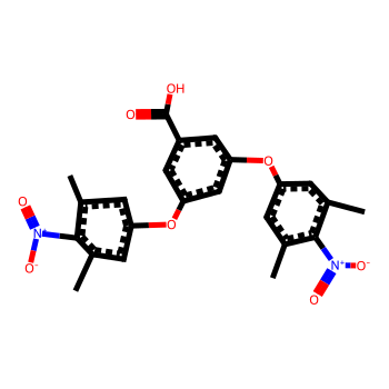 Cc1cc(Oc2cc(Oc3cc(C)c([N+](=O)[O-])c(C)c3)cc(C(=O)O)c2)cc(C)c1[N+](=O)[O-]